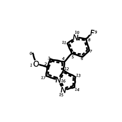 COc1cc(-c2ccc(F)nc2)c2ccnn2c1